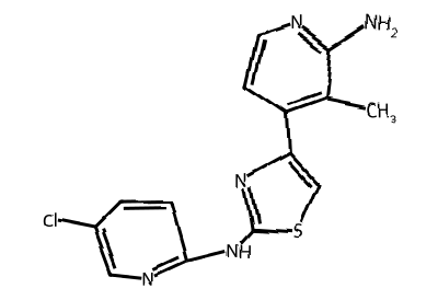 Cc1c(-c2csc(Nc3ccc(Cl)cn3)n2)ccnc1N